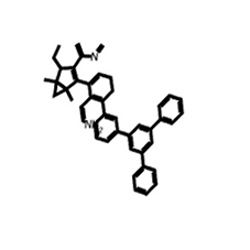 C=NC(=C)C1=C(C2=CCCC(c3cccc(-c4cc(-c5ccccc5)cc(-c5ccccc5)c4)c3)=C2/C=C\N)C2(C)CC2(C)C1CC